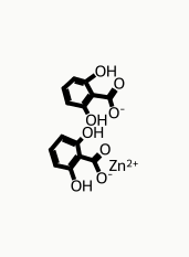 O=C([O-])c1c(O)cccc1O.O=C([O-])c1c(O)cccc1O.[Zn+2]